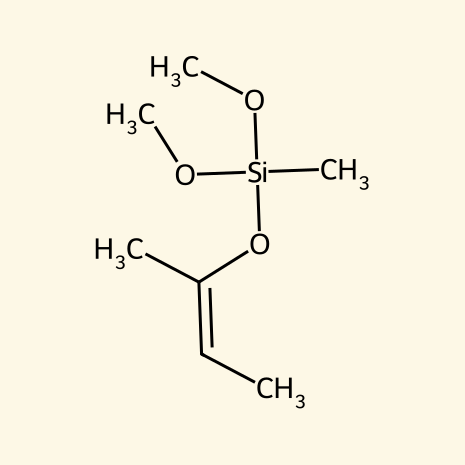 CC=C(C)O[Si](C)(OC)OC